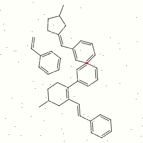 C=Cc1ccccc1.CC1CCC(=Cc2ccccc2)C1.CC1CCC(c2ccccc2)=C(C=Cc2ccccc2)C1